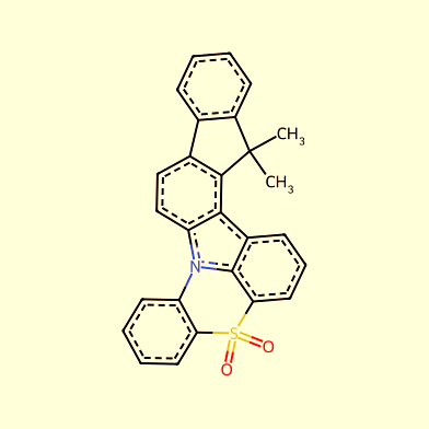 CC1(C)c2ccccc2-c2ccc3c(c21)c1cccc2c1n3-c1ccccc1S2(=O)=O